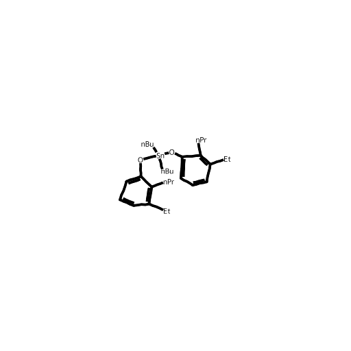 CCC[CH2][Sn]([CH2]CCC)([O]c1cccc(CC)c1CCC)[O]c1cccc(CC)c1CCC